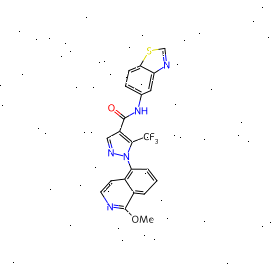 COc1nccc2c(-n3ncc(C(=O)Nc4ccc5scnc5c4)c3C(F)(F)F)cccc12